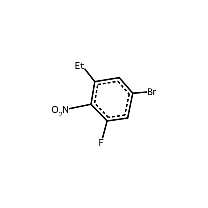 CCc1cc(Br)cc(F)c1[N+](=O)[O-]